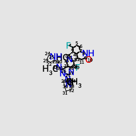 C#Cc1c(F)ccc2[nH]c(=O)cc(-c3ncc4c(N(C)C[C@H]5CCCN5)nc(N5CC6CCC(C5)N6C)nc4c3F)c12